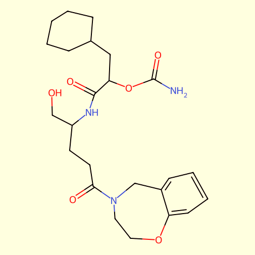 NC(=O)OC(CC1CCCCC1)C(=O)NC(CO)CCC(=O)N1CCOc2ccccc2C1